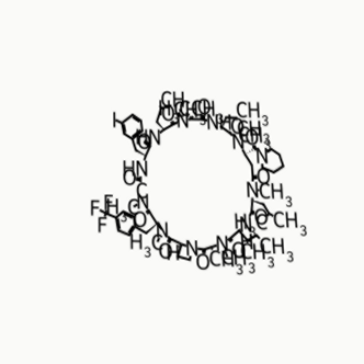 C#CC[C@@H]1NC(=O)[C@H](Cc2cccc(I)c2)NC(=O)CN(C)C(=O)[C@H](Cc2ccc(C(F)(F)F)cc2)N(C)C(=O)[C@@H]2CCN2C(=O)[C@H](C)N(C)C(=O)[C@H]([C@@H](C)CC)NC(=O)[C@H](CC(C)C)N(C)C(=O)C[C@@H](C(=O)N2CCCCC2)N(C)C(=O)[C@H](CC(C)C)NC(=O)C(C)(C)N(C)C1=O